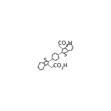 O=C(O)Cc1c(-c2ccc(-c3sc4ccccc4c3CC(=O)O)cc2)sc2ccccc12